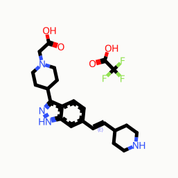 O=C(O)C(F)(F)F.O=C(O)CN1CCC(c2n[nH]c3cc(/C=C/C4CCNCC4)ccc23)CC1